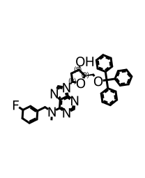 CN(CC1=CC(F)CC=C1)c1ncnc2c1ncn2[C@H]1C[C@H](O)[C@@H](COC(c2ccccc2)(c2ccccc2)c2ccccc2)O1